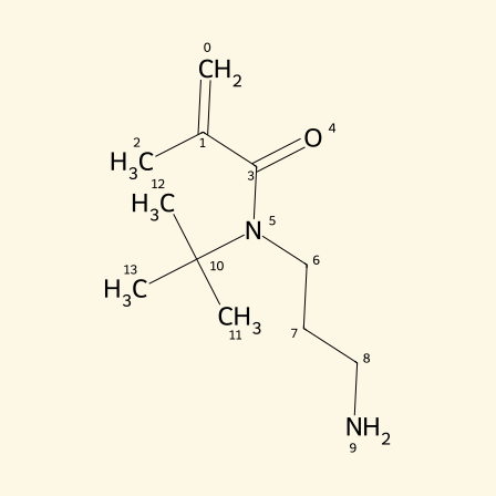 C=C(C)C(=O)N(CCCN)C(C)(C)C